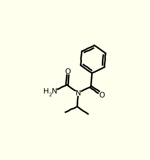 CC(C)N(C(N)=O)C(=O)c1ccccc1